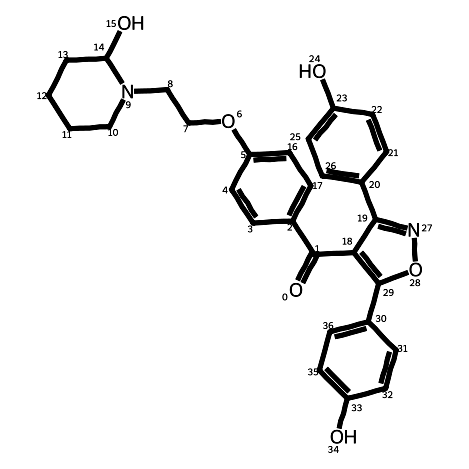 O=C(c1ccc(OCCN2CCCCC2O)cc1)c1c(-c2ccc(O)cc2)noc1-c1ccc(O)cc1